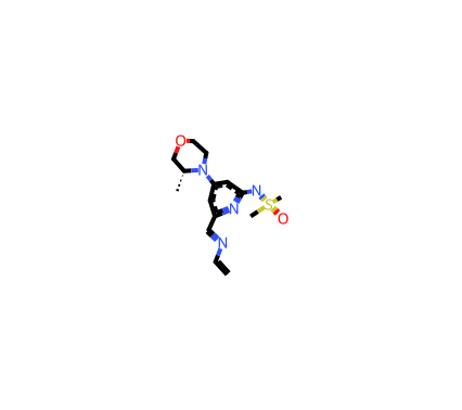 C=C/N=C/c1cc(N2CCOC[C@H]2C)cc(N=S(C)(C)=O)n1